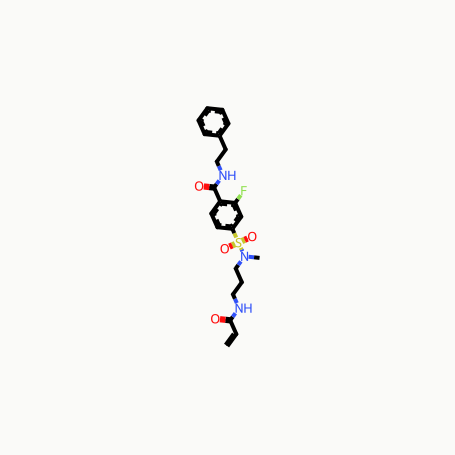 C=CC(=O)NCCCN(C)S(=O)(=O)c1ccc(C(=O)NCCc2ccccc2)c(F)c1